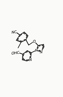 Cc1cc(C#N)ccc1COc1ccnn1-c1cc(C=O)ccn1